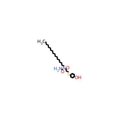 CCCCCCCCCCCCCCCCCCN(C(N)=O)C(=O)CCSc1ccc(O)cc1